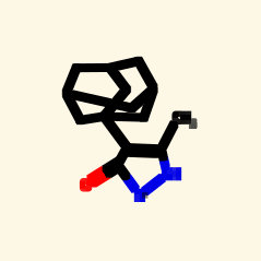 CC1=C(C23CC4CC(CC(C4)C2)C3)C(=O)[N]N1